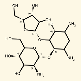 NC1CC(N)[C@@H](O[C@H]2OC(CO)[C@@H](O)C(O)[C@@H]2N)C(O[C@@H]2O[C@H](CO)[C@H](O)C2O)[C@@H]1O